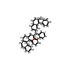 c1ccc(-c2ccccc2N(c2ccc3c(ccc4ccc5ccccc5c43)c2)c2ccc3ccc4oc5ccccc5c4c3c2)cc1